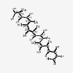 II(I)I(I)I(I)I(I)I(I)I(I)I(I)I(I)I(I)I(I)I(I)I(I)I(I)I(I)I(I)I(I)I(I)I(I)I